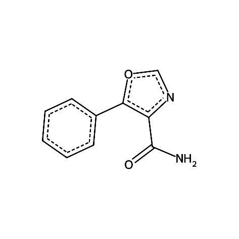 NC(=O)c1ncoc1-c1ccccc1